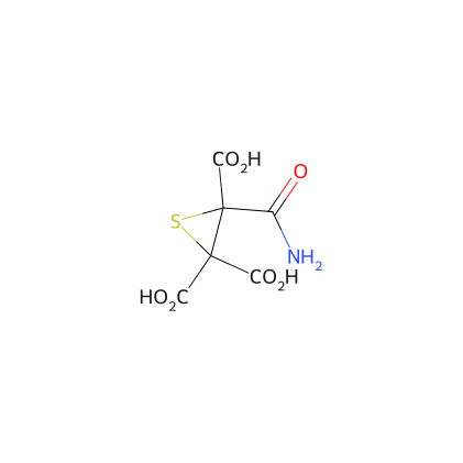 NC(=O)C1(C(=O)O)SC1(C(=O)O)C(=O)O